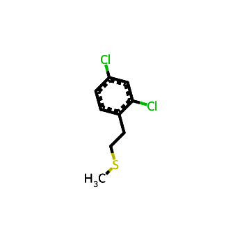 CSCCc1ccc(Cl)cc1Cl